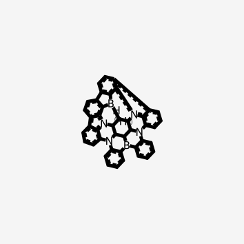 c1ccc2c(c1)B1c3ccccc3N3c4cccc5c6ccc7c8c6n(c45)[C@H]4C3C1C1C3[C@H]4B8c4c-7ccc5c6cccc(c6n3c45)N21